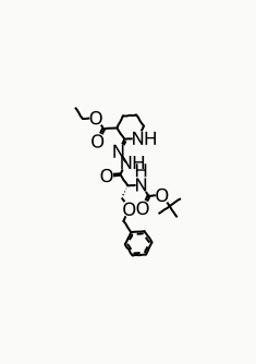 CCOC(=O)C1CCCN/C1=N\NC(=O)[C@@H](COCc1ccccc1)NC(=O)OC(C)(C)C